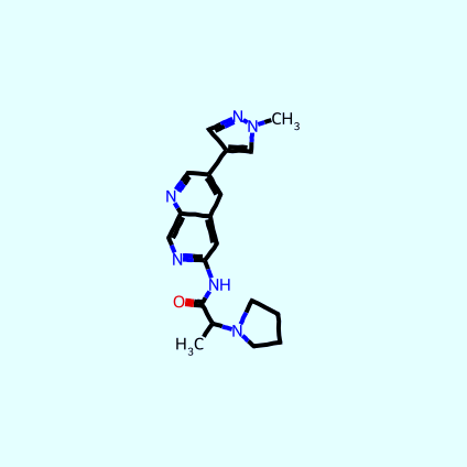 CC(C(=O)Nc1cc2cc(-c3cnn(C)c3)cnc2cn1)N1CCCC1